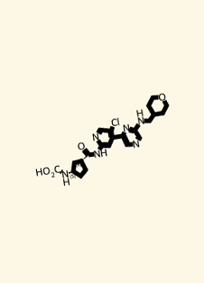 O=C(O)N[C@H]1CC[C@@H](C(=O)Nc2cc(-c3cncc(NCC4CCOCC4)n3)c(Cl)cn2)C1